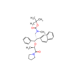 C[C@@H](O[C@H](c1ccccc1)[C@H](CN(C)C(=O)OC(C)(C)C)c1ccc2ccccc2c1)C(=O)N1CCCC1